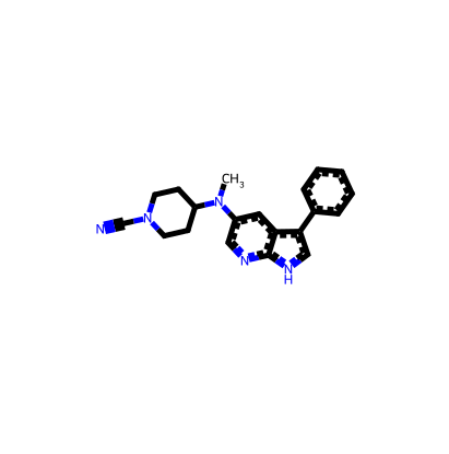 CN(c1cnc2[nH]cc(-c3ccccc3)c2c1)C1CCN(C#N)CC1